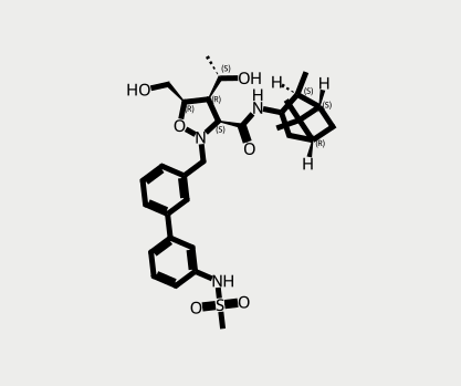 C[C@H](O)[C@@H]1[C@H](CO)ON(Cc2cccc(-c3cccc(NS(C)(=O)=O)c3)c2)[C@@H]1C(=O)NC1C[C@H]2C[C@@H]([C@@H]1C)C2(C)C